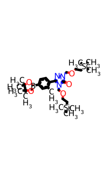 Cc1cc(B2OC(C)(C)C(C)(C)O2)ccc1-c1nn(COCC[Si](C)(C)C)c(=O)n1COCC[Si](C)(C)C